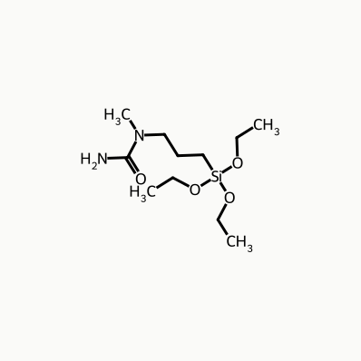 CCO[Si](CCCN(C)C(N)=O)(OCC)OCC